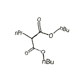 CCCCOC(=O)C(CCC)C(=O)OCCCC